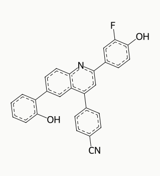 N#Cc1ccc(-c2cc(-c3ccc(O)c(F)c3)nc3ccc(-c4ccccc4O)cc23)cc1